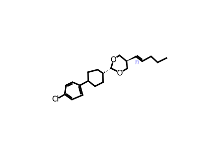 CCC/C=C/[C@H]1CO[C@H](C2CCC(c3ccc(Cl)cc3)CC2)OC1